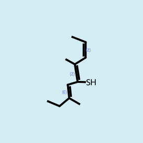 C\C=C/C(C)=C(S)/C=C(\C)CC